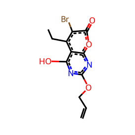 C=CCOc1nc(O)c2c(CC)c(Br)c(=O)oc2n1